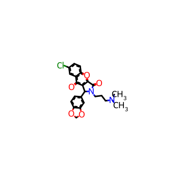 CN(C)CCCN1C(=O)c2oc3ccc(Cl)cc3c(=O)c2C1c1ccc2c(c1)OCO2